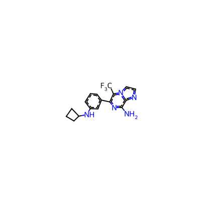 Nc1nc(-c2cccc(NC3CCC3)c2)c(C(F)(F)F)n2ccnc12